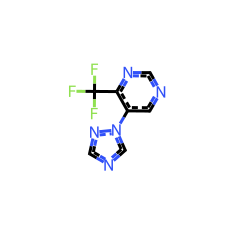 FC(F)(F)c1ncncc1-n1cncn1